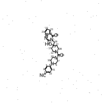 N#Cc1ccc(N2CCN(C(=O)N3CCC(O)(Cn4cnn5cccc5c4=O)CC3)CC2)cc1